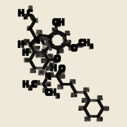 C=CCN1CC[C@]23c4c5c(O)cc(OC)c4O[C@H]2[C@H](N(C(=O)CCCCC2CCCCC2)C(C)C)CC[C@H]3[C@H]1C5